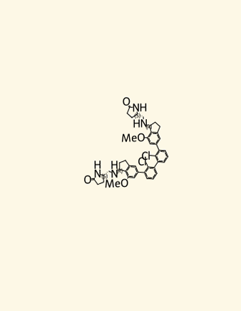 COc1cc(-c2cccc(-c3cccc(-c4cc5c(c(OC)c4)[C@H](NC[C@@H]4CCC(=O)N4)CC5)c3Cl)c2Cl)cc2c1[C@H](NC[C@@H]1CCC(=O)N1)CC2